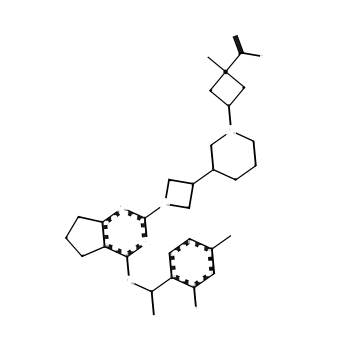 Cc1ccc(C(C)Nc2nc(N3CC(C4CCCN(C5CC(C)(C(=O)O)C5)C4)C3)nc3c2CCC3)c(Cl)c1